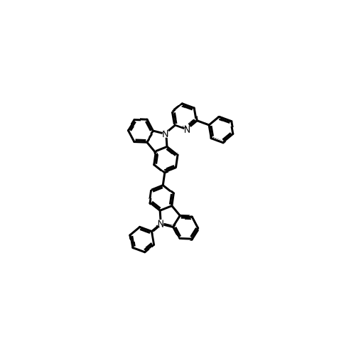 c1ccc(-c2cccc(-n3c4ccccc4c4cc(-c5ccc6c(c5)c5ccccc5n6-c5ccccc5)ccc43)n2)cc1